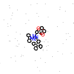 c1ccc([Si](c2ccccc2)(c2ccccc2)c2cccc(-c3nc(-c4ccc5c(c4)[Si]4(c6ccccc6Oc6ccccc64)c4ccccc4O5)nc(-n4c5ccccc5c5ccccc54)n3)c2)cc1